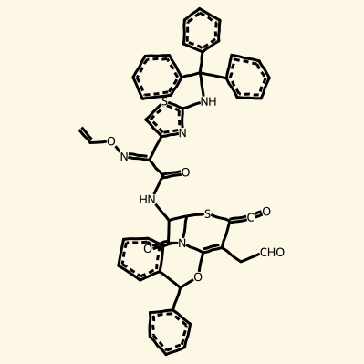 C=CON=C(C(=O)NC1C(=O)N2C(OC(c3ccccc3)c3ccccc3)=C(CC=O)C(=C=O)SC12)c1csc(NC(c2ccccc2)(c2ccccc2)c2ccccc2)n1